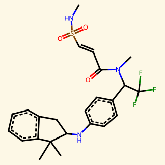 CNS(=O)(=O)C=CC(=O)N(C)C(c1ccc(NC2Cc3ccccc3C2(C)C)cc1)C(F)(F)F